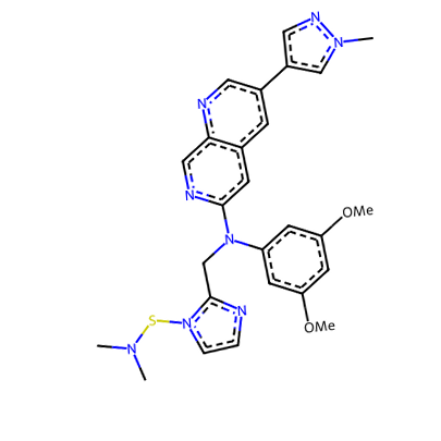 COc1cc(OC)cc(N(Cc2nccn2SN(C)C)c2cc3cc(-c4cnn(C)c4)cnc3cn2)c1